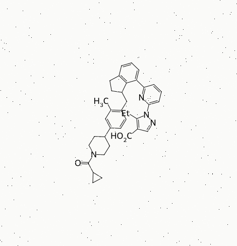 CCc1c(C(=O)O)cnn1-c1cccc(-c2cccc3c2C(Cc2ccc(C4CCN(C(=O)C5CC5)CC4)cc2C)CC3)n1